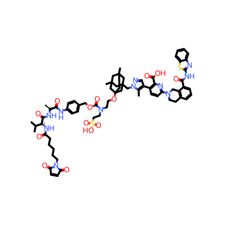 Cc1c(-c2ccc(N3CCc4cccc(C(=O)Nc5nc6ccccc6s5)c4C3)nc2C(=O)O)cnn1CC12CC3(C)CC(C)(C1)CC(OCCN(CCS(=O)(=O)O)C(=O)OCc1ccc(NC(=O)[C@H](C)NC(=O)[C@@H](NC(=O)CCCCCN4C(=O)C=CC4=O)C(C)C)cc1)(C3)C2